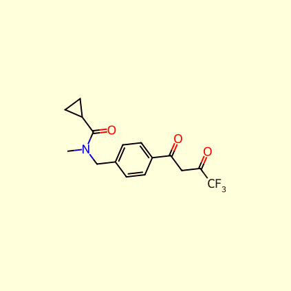 CN(Cc1ccc(C(=O)CC(=O)C(F)(F)F)cc1)C(=O)C1CC1